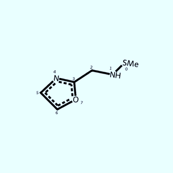 CSNCc1ncco1